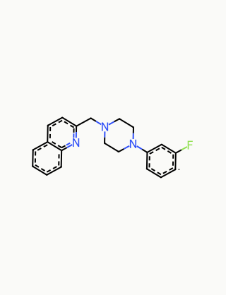 Fc1[c]ccc(N2CCN(Cc3ccc4ccccc4n3)CC2)c1